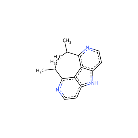 CC(C)c1nccc2[nH]c3ccnc(C(C)C)c3c12